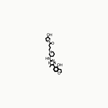 Cc1nc(N[C@@H]2CCCN(CCCC(=O)N3CCC(O)C3)C2)nnc1-c1ccc2c(c1O)CCO2